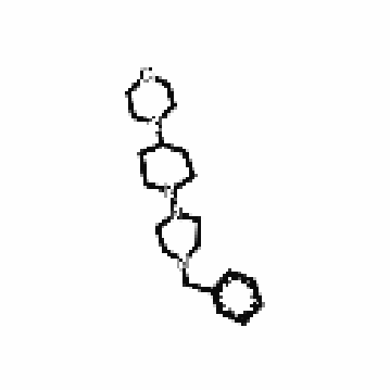 c1ccc(CN2CCN(N3CCC(N4CCOCC4)CC3)CC2)cc1